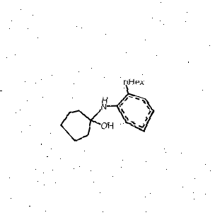 CCCCCCc1ccccc1NC1(O)CCCCC1